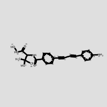 CC(O)(C(NC(=O)c1ccc(C#CC#Cc2ccc(N)cc2)cc1)C(=O)NO)C(F)(F)F